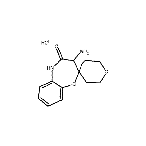 Cl.NC1C(=O)Nc2ccccc2OC12CCOCC2